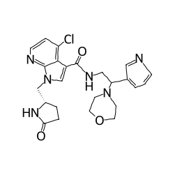 O=C1CC[C@@H](Cn2cc(C(=O)NCC(c3cccnc3)N3CCOCC3)c3c(Cl)ccnc32)N1